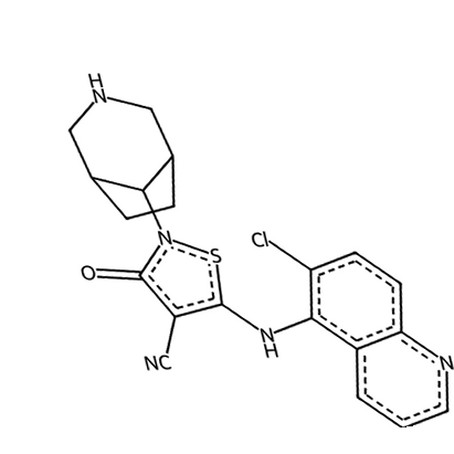 N#Cc1c(Nc2c(Cl)ccc3ncccc23)sn(C2C3CCC2CNC3)c1=O